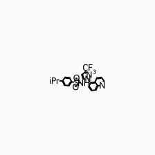 CC(C)c1ccc(S(=O)(=O)Nc2cc(C(F)(F)F)nn2-c2cccc3ncccc23)cc1